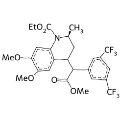 CCOC(=O)N1c2cc(OC)c(OC)cc2C(C(C(=O)OC)c2cc(C(F)(F)F)cc(C(F)(F)F)c2)C[C@@H]1C